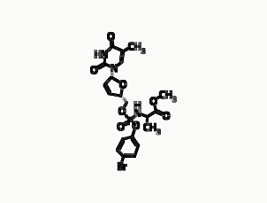 COC(=O)C(C)NP(=O)(OC[C@@H]1C=C[C@H](n2cc(C)c(=O)[nH]c2=O)O1)Oc1ccc(Br)cc1